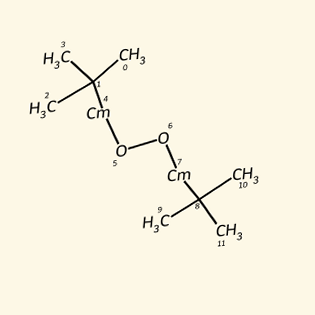 C[C](C)(C)[Cm][O][O][Cm][C](C)(C)C